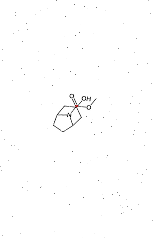 COC(=O)N1C2CCC1CC(O)C2